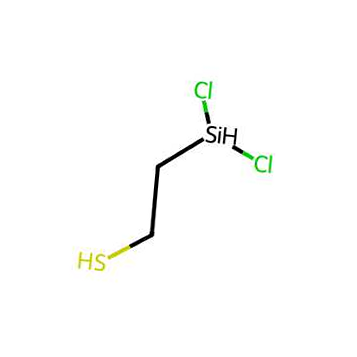 SCC[SiH](Cl)Cl